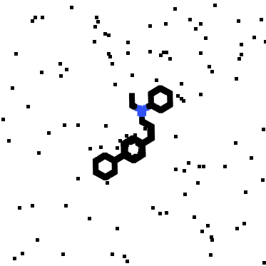 CCN(C/C=C\c1ccc(C2CCCCC2)cc1)C1CCCCC1